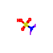 O=S(=O)(O)N(I)I